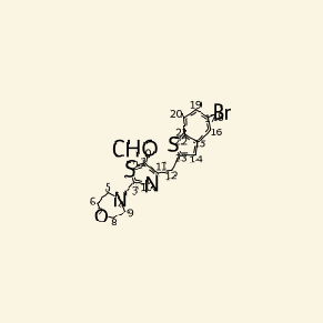 O=Cc1sc(N2CCOCC2)nc1Cc1cc2cc(Br)ccc2s1